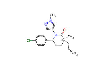 C=CC[C@@]1(C)CCC(c2ccc(Cl)cc2)N(c2cnn(C)c2)C1=O